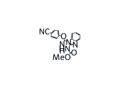 COC(=O)Nc1nc2ccccc2n1C(=N)Oc1ccc(C#N)cc1